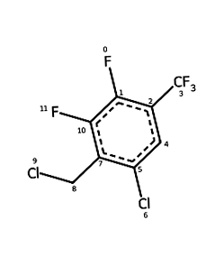 Fc1c(C(F)(F)F)cc(Cl)c(CCl)c1F